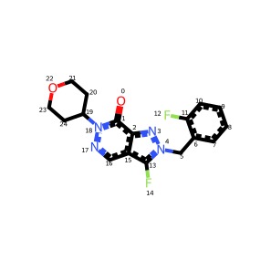 O=c1c2nn(Cc3ccccc3F)c(F)c2cnn1C1CCOCC1